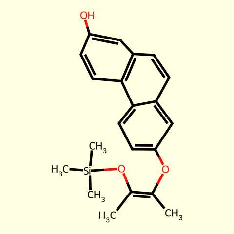 CC(Oc1ccc2c(ccc3cc(O)ccc32)c1)=C(C)O[Si](C)(C)C